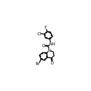 O=C1CCN(C(=O)Nc2ccc(F)c(Cl)c2)c2ccc(Br)cc21